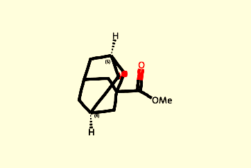 COC(=O)C12CC3C[C@H](C1)C(=O)[C@@H](C3)C2